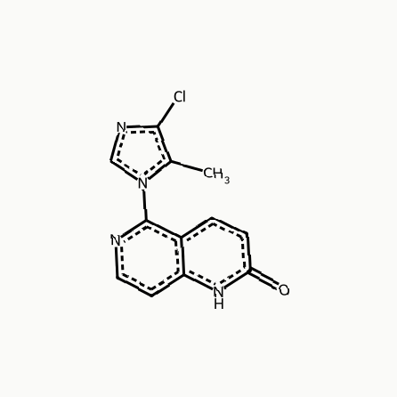 Cc1c(Cl)ncn1-c1nccc2[nH]c(=O)ccc12